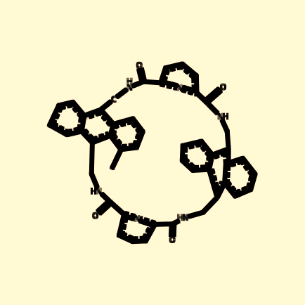 Cc1cccc2c3c4ccccc4c(c12)CNC(=O)c1cccc(n1)C(=O)NCc1c2ccccc2c(c2ccccc12)CNC(=O)c1cccc(n1)C(=O)NC3